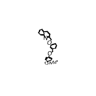 COc1ccc(OCc2cccc(OCc3ccc4ccccc4n3)c2)cc1